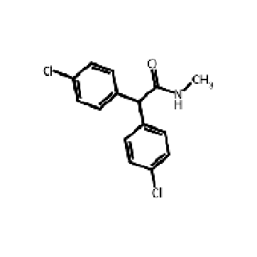 CNC(=O)C(c1ccc(Cl)cc1)c1ccc(Cl)cc1